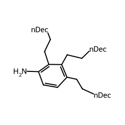 CCCCCCCCCCCCc1ccc(N)c(CCCCCCCCCCCC)c1CCCCCCCCCCCC